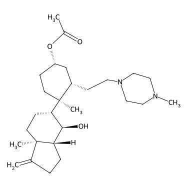 C=C1CC[C@H]2[C@H](O)[C@@H]([C@@]3(C)CC[C@H](OC(C)=O)C[C@@H]3CCN3CCN(C)CC3)CC[C@]12C